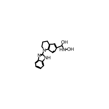 ONC(O)c1ccc2c(c1)CCCN2c1nc2ccccc2[nH]1